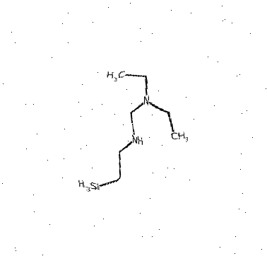 CCN(CC)CNCC[SiH3]